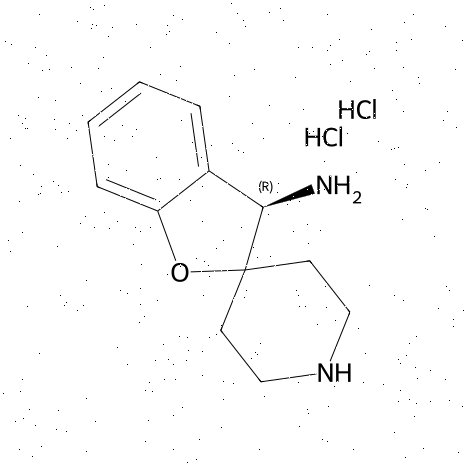 Cl.Cl.N[C@@H]1c2ccccc2OC12CCNCC2